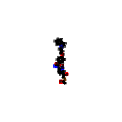 CC(=O)SCC(=O)c1ccc(NS(=O)(=O)c2ccc(OCCCn3ccc4ccccc43)cc2)nc1